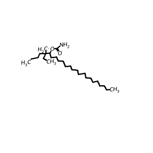 [CH2]C(CC)(CCCC)C(CCCCCCCCCCCCCCCCCC)OC(N)=O